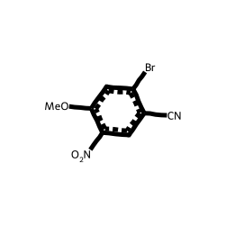 COc1cc(Br)c(C#N)cc1[N+](=O)[O-]